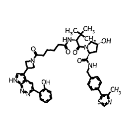 Cc1ncsc1-c1ccc(CNC(=O)[C@@H]2C[C@@H](O)CN2C(=O)[C@@H](NC(=O)CCCCC(=O)N2CC(c3c[nH]c4nnc(-c5ccccc5O)cc34)C2)C(C)(C)C)cc1